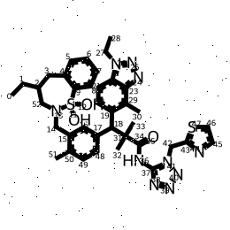 CCC1Cc2ccccc2S(O)(O)N(Cc2cc(C(c3ccc4c(nnn4CC)c3C)C(C)(C)C(=O)Nc3nnnn3Cc3nccs3)ccc2C)C1